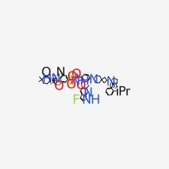 Cc1nc2[nH]cc(F)c2cc1Oc1cc(N2CCC3(CC2)CC(N2CCC[C@H]2c2ccccc2C(C)C)C3)ccc1C(=O)NS(=O)(=O)c1cc2c(c([N+](=O)[O-])c1)N[C@@H](C1CCC(C)(C)CC1)CO2